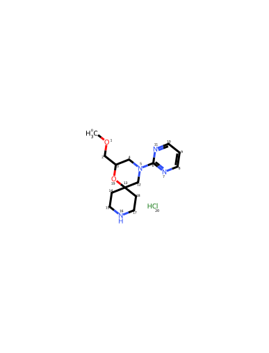 COCC1CN(c2ncccn2)CC2(CCNCC2)O1.Cl